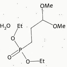 CCOP(=O)(CCC(OC)OC)OCC.O